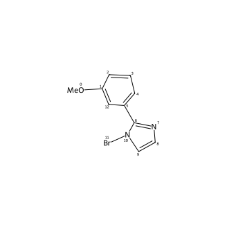 COc1cccc(-c2nccn2Br)c1